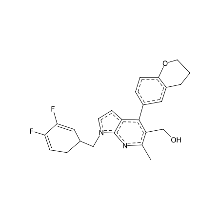 Cc1nc2c(ccn2CC2C=C(F)C(F)=CC2)c(-c2ccc3c(c2)CCCO3)c1CO